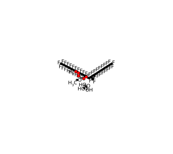 CCO[Si](OCC)(OCCC(F)(C(F)(F)F)C(F)(F)C(F)(F)C(F)(F)C(F)(F)C(F)(F)C(F)(F)C(F)(F)C(F)(F)F)C(F)(C(F)(F)F)C(F)(F)C(F)(F)C(F)(F)C(F)(F)C(F)(F)C(F)(F)C(F)(F)C(F)(F)F.O=P(O)(O)O